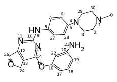 CN1CCN(c2ccc(Nc3nc4c(c(Oc5cccc(N)c5)n3)COC4)cc2)CC1